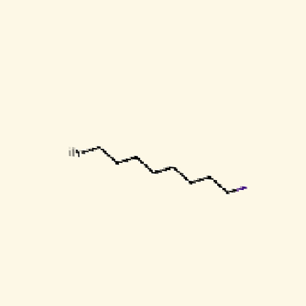 CC(C)CCCCCCCCI